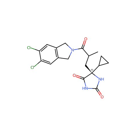 CC(C[C@@]1(C2CC2)NC(=O)NC1=O)C(=O)N1Cc2cc(Cl)c(Cl)cc2C1